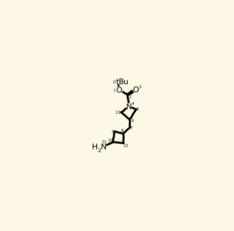 CC(C)(C)OC(=O)N1CC(CC2CC(N)C2)C1